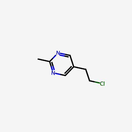 Cc1ncc(CCCl)cn1